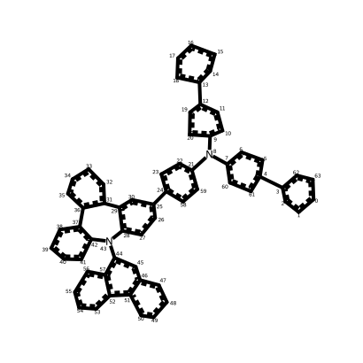 c1ccc(-c2ccc(N(c3ccc(-c4ccccc4)cc3)c3ccc(-c4ccc5c(c4)-c4ccccc4-c4ccccc4N5c4cc5ccccc5c5ccccc45)cc3)cc2)cc1